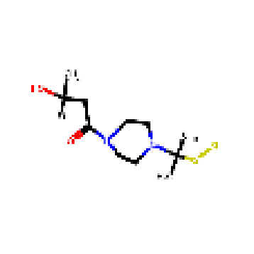 CCC(C)(O)CC(=O)N1CCN(C(C)(C)SS)CC1